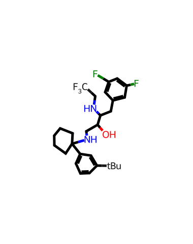 CC(C)(C)c1cccc(C2(NCC(O)C(Cc3cc(F)cc(F)c3)NCC(F)(F)F)CCCCC2)c1